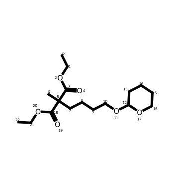 CCOC(=O)C(C)(CCCCOC1CCCCO1)C(=O)OCC